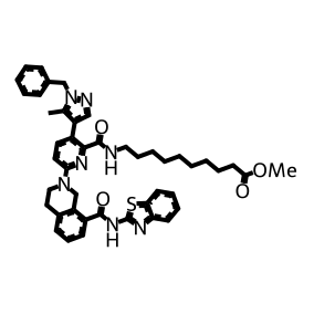 COC(=O)CCCCCCCCCNC(=O)c1nc(N2CCc3cccc(C(=O)Nc4nc5ccccc5s4)c3C2)ccc1-c1cnn(Cc2ccccc2)c1C